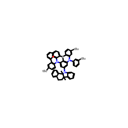 CC(C)(C)c1cccc(N2c3cc(C(C)(C)C)ccc3B3c4ccccc4N(c4ccc(C(C)(C)C)cc4-c4ccccc4)c4cc(N5c6ccccc6C6(C)CCc7ccccc7C56C)cc2c43)c1